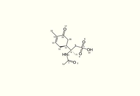 CC(=O)N[C@](C)(CS(=O)(=O)O)[C@H]1CC=C(C)C(=O)C1